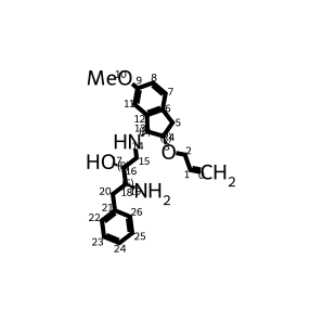 C=CCO[C@@H]1Cc2ccc(OC)cc2[C@H]1NC[C@@H](O)[C@@H](N)Cc1ccccc1